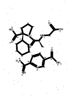 C[C@H](NCC(=O)O)C(=O)N1CCC[C@]1(C(=O)O)C1CCCCC1.N=C(N)c1ccc(C(N)=O)cn1